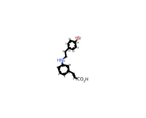 O=C(O)C=Cc1cccc(NCCc2ccc(Br)cc2)c1